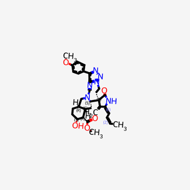 C=C1/C(=C\C=C/C)NC(=O)[C@]1(CCn1cc(-c2ccc(OC)cc2)nn1)[C@@H]1C[C@H]2[C@@H](CC[C@H](O)[C@@H]2C(=O)OC)CN1C#N